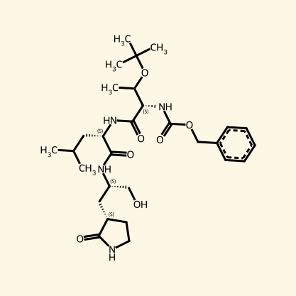 CC(C)C[C@H](NC(=O)[C@@H](NC(=O)OCc1ccccc1)C(C)OC(C)(C)C)C(=O)N[C@H](CO)C[C@@H]1CCNC1=O